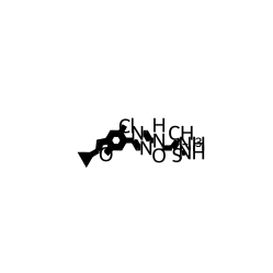 CC1=C(C(=O)Nc2cnc(-c3cc4oc(C5CC5)cc4cc3Cl)cn2)SNN1